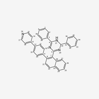 c1ccc(C2=NC(c3c(-c4ccc(-c5ccncc5)cc4)ccc4ccccc34)=NC(c3ccccc3)N2)cc1